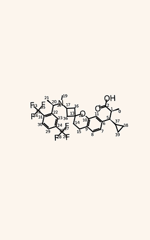 C[C@H](C(=O)O)[C@H](c1ccc2c(c1)OC1(CC2)CC(N(C)[C@H](C)c2cc(C(F)(F)F)ccc2C(F)(F)F)C1)C1CC1